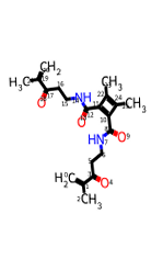 C=C(C)C(=O)CCNC(=O)C1=C(C(=O)NCCC(=O)C(=C)C)C(C)=C1C